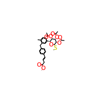 COC(=O)CC=Cc1ccc(Cc2cc([C@@H]3O[C@H](SC)[C@@H](OC(C)=O)[C@H](OC(C)=O)[C@H]3OC(C)=O)ccc2C)cc1